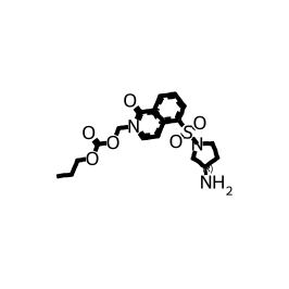 CCCOC(=O)OCn1ccc2c(S(=O)(=O)N3CC[C@@H](N)C3)cccc2c1=O